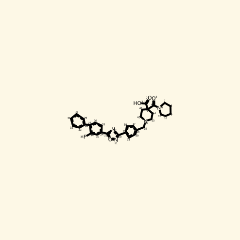 O=C(O)C1(C(=O)N2CCCCC2)CCN(Cc2ccc(-c3noc(-c4ccc(-c5ccccc5)c(F)c4)n3)cc2)CC1